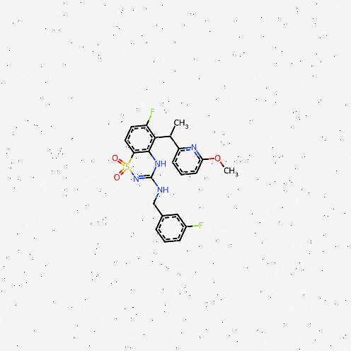 COc1cccc(C(C)c2c(F)ccc3c2NC(NCc2cccc(F)c2)=NS3(=O)=O)n1